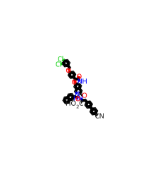 N#Cc1ccc(-c2ccc(C[C@H](NC(=O)[C@@H]3Cc4cc5c(cc4CN3C(=O)c3ccc4ccccc4c3)OC(c3ccc(OCc4ccc(Cl)c(Cl)c4)cc3)C(=O)N5)C(=O)O)cc2)cc1